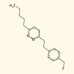 CCCCCc1ccc(CCc2ccc(CF)cc2)nn1